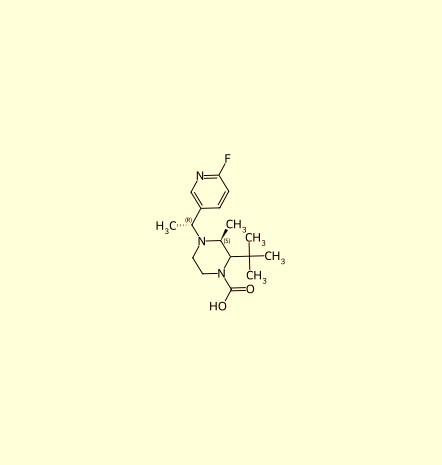 C[C@H](c1ccc(F)nc1)N1CCN(C(=O)O)C(C(C)(C)C)[C@@H]1C